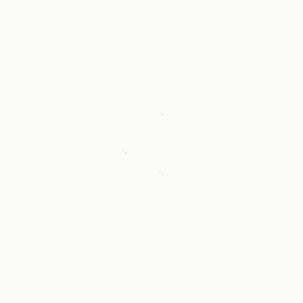 c1ccc(N2c3cccc4c3B3c5c(cccc5-n5c3c2c2ccc3sc6ccccc6c3c25)N4c2cccc3sc4ccccc4c23)cc1